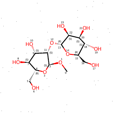 CO[C@H]1O[C@H](CO)[C@@H](O)[C@H](O)[C@@H]1O[C@H]1O[C@H](CO)[C@@H](O)[C@H](O)[C@@H]1O